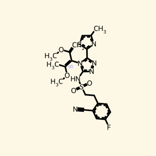 C=C(OC)/C(=C(\C)OC)n1c(NS(=O)(=O)CCc2ccc(F)cc2C#N)nnc1-c1nc(C)cs1